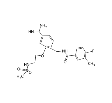 Cc1cc(C(=O)NCc2ccc(C(=N)N)cc2OCCNS(C)(=O)=O)ccc1F